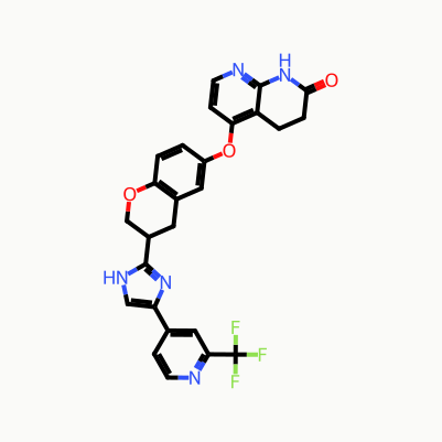 O=C1CCc2c(Oc3ccc4c(c3)CC(c3nc(-c5ccnc(C(F)(F)F)c5)c[nH]3)CO4)ccnc2N1